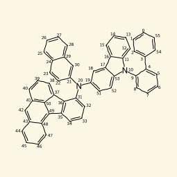 c1ccc(-c2ccccc2-n2c3ccccc3c3cc(N(c4ccc5ccccc5c4)c4cccc5c4-c4cccc6cc7ccccc7c-5c46)ccc32)cc1